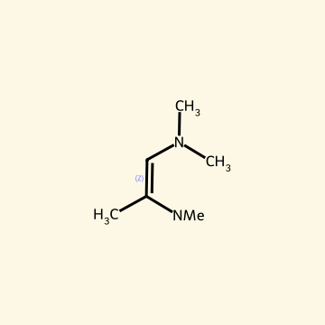 CN/C(C)=C\N(C)C